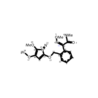 CNC(=O)/C(=N\OC)c1ccccc1COC1=CC(OC(C)C)=C(OC)[N+]1=[N-]